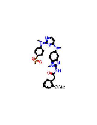 COc1ccccc1CC(=O)Nc1nc2cc(N(C)c3ccnc(N(C)c4ccc(S(C)(=O)=O)cc4)n3)ccc2n1C